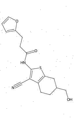 N#Cc1c(NC(=O)CCc2ccco2)sc2c1CCC(CO)C2